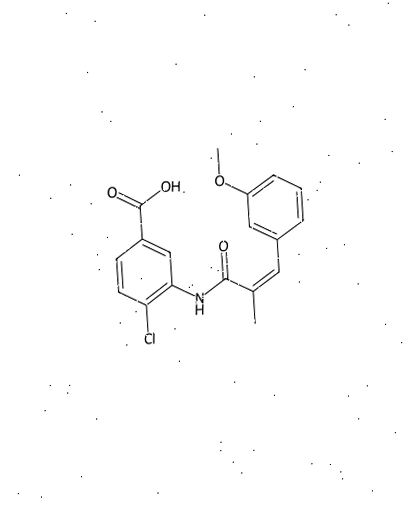 COc1cccc(C=C(C)C(=O)Nc2cc(C(=O)O)ccc2Cl)c1